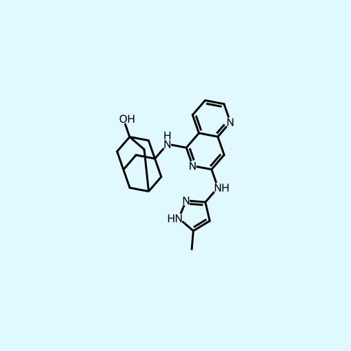 Cc1cc(Nc2cc3ncccc3c(NC34CC5CC(CC(O)(C5)C3)C4)n2)n[nH]1